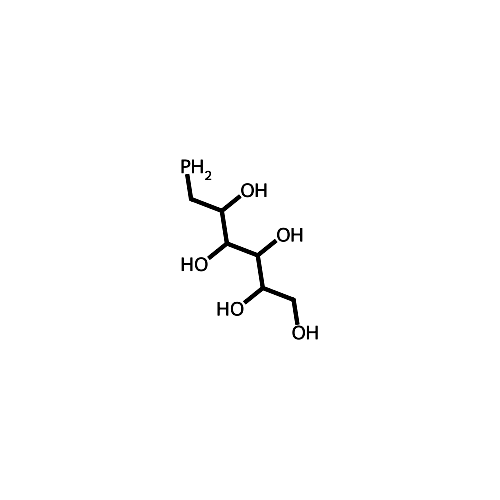 OCC(O)C(O)C(O)C(O)CP